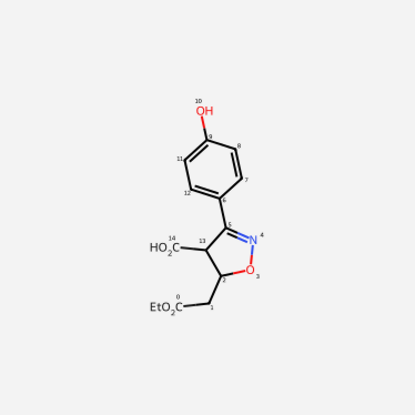 CCOC(=O)CC1ON=C(c2ccc(O)cc2)C1C(=O)O